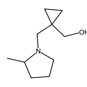 CC1CCCN1CC1(CO)CC1